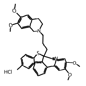 COc1ccc(-c2ccccc2C(C#N)(CCCN2CCc3cc(OC)c(OC)cc3C2)Sc2ccc(C)cc2)cc1OC.Cl